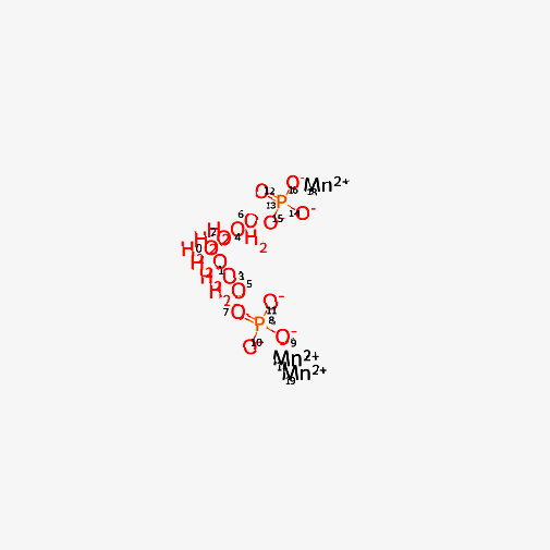 O.O.O.O.O.O.O.O=P([O-])([O-])[O-].O=P([O-])([O-])[O-].[Mn+2].[Mn+2].[Mn+2]